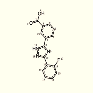 O=C(O)c1cccc(-c2nc(-c3ccccc3F)n[nH]2)c1